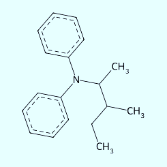 CCC(C)C(C)N(c1ccccc1)c1ccccc1